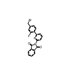 O=C1c2ccccc2C(=O)N1c1cccc(-c2ccc(CBr)cc2F)n1